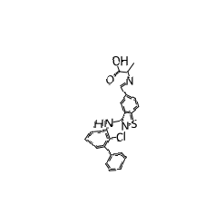 CC(N=Cc1ccc2snc(Nc3cccc(-c4ccccc4)c3Cl)c2c1)C(=O)O